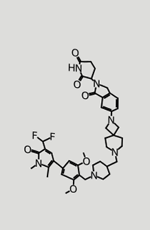 COc1cc(-c2cc(C(F)F)c(=O)n(C)c2C)cc(OC)c1CN1CCC(CN2CCC3(CC2)CN(c2ccc4c(c2)C(=O)N(C2CCC(=O)NC2=O)C4)C3)CC1